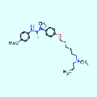 C=CCN(C)CCCCCCOc1ccc(N(C)C(=S)Nc2ccc(OC)cc2)cc1